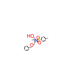 Cc1ccc(S(=O)(=O)N2C(COCc3ccccc3)C2(C)CO)cc1